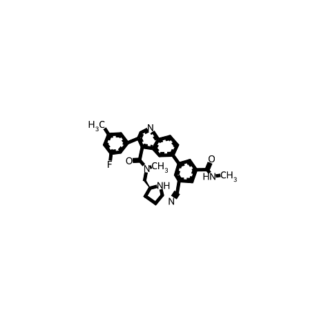 CNC(=O)c1cc(C#N)cc(-c2ccc3ncc(-c4cc(C)cc(F)c4)c(C(=O)N(C)C[C@@H]4CCCN4)c3c2)c1